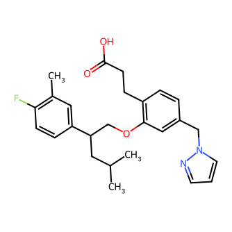 Cc1cc(C(COc2cc(Cn3cccn3)ccc2CCC(=O)O)CC(C)C)ccc1F